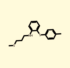 CSCCCNc1ccccc1Sc1ccc(C)cc1